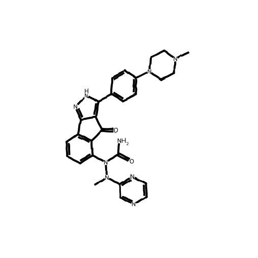 CN1CCN(c2ccc(-c3[nH]nc4c3C(=O)c3c-4cccc3N(C(N)=O)N(C)c3cnccn3)cc2)CC1